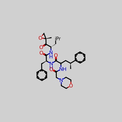 CC(C)C[C@H](NC(=O)[C@H](Cc1ccccc1)NC(=O)[C](C[C@H](C)c1ccccc1)NC(=O)CN1CCOCC1)C(=O)[C@@]1(C)CO1